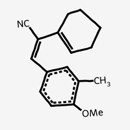 COc1ccc(C=C(C#N)C2=CCCCC2)cc1C